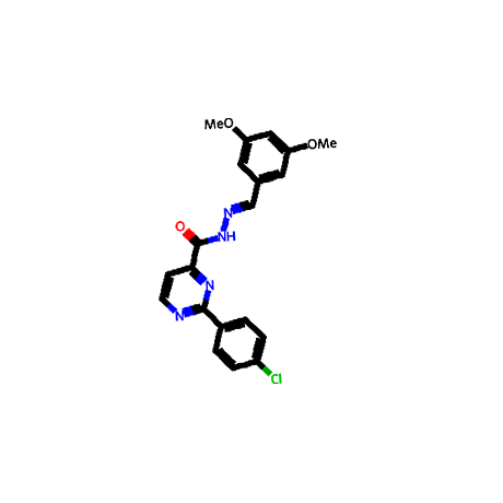 COc1cc(/C=N/NC(=O)c2ccnc(-c3ccc(Cl)cc3)n2)cc(OC)c1